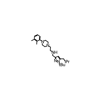 Cc1cccc(N2CCN(CCNCc3cc(CC(C)C)n(C(C)(C)C)n3)CC2)c1C